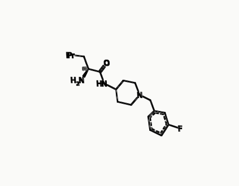 CC(C)C[C@H](N)C(=O)NC1CCN(Cc2cccc(F)c2)CC1